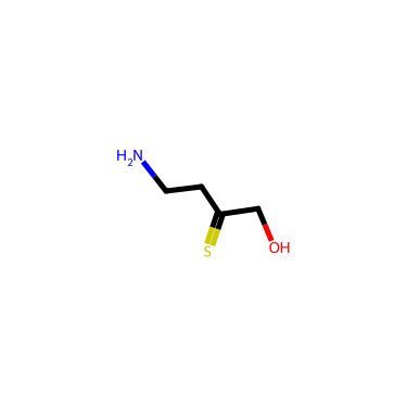 NCCC(=S)CO